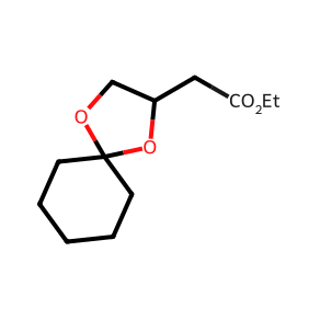 CCOC(=O)CC1COC2(CCCCC2)O1